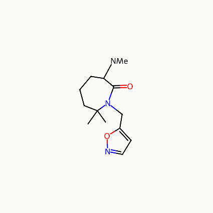 CNC1CCCC(C)(C)N(Cc2ccno2)C1=O